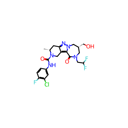 C[C@@H]1Cc2nn3c(c2CN1C(=O)Nc1ccc(F)c(Cl)c1)C(=O)N(CC(F)F)C[C@@H](CO)C3